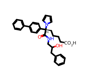 O=C(O)CCCC[C@@](C(=O)NCC(O)Cc1ccccc1)(c1ccc(-c2ccccc2)cc1)n1cccc1